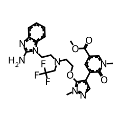 COC(=O)c1cc(-c2cnn(C)c2OCCN(CCn2c(N)nc3ccccc32)CC(F)(F)F)c(=O)n(C)c1